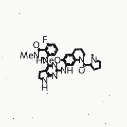 CNC(=O)c1c(F)cccc1Nc1nc(Nc2cc3c(cc2OC)CCCN3C(=O)C2CCCN2C)nc2c1CCN2